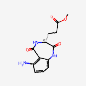 COC(=O)CC[C@H]1NC(=O)c2c(N)cccc2NC1=O